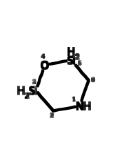 C1NC[SiH2]O[SiH2]1